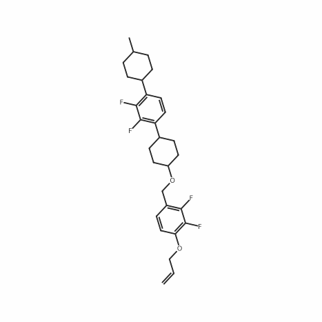 C=CCOc1ccc(COC2CCC(c3ccc(C4CCC(C)CC4)c(F)c3F)CC2)c(F)c1F